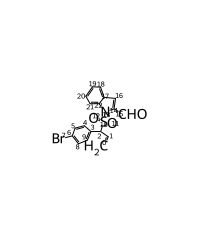 C=CC(c1ccc(Br)cc1)S(=O)(=O)n1c(C=O)cc2ccccc21